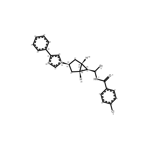 CCC(NC(=O)c1ccc(Cl)cc1)[C@H]1[C@@H]2C[C@@H](n3cnc(-c4ccccc4)c3)C[C@@H]21